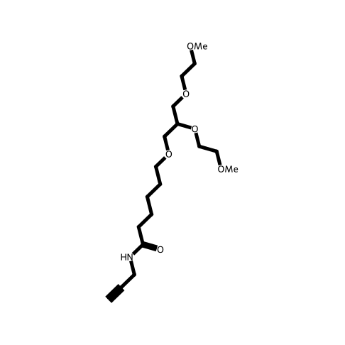 C#CCNC(=O)CCCCCOCC(COCCOC)OCCOC